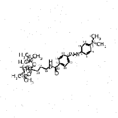 CN(C)c1ccc(/N=N/c2ccc(C(=O)NCCC[Si](C)(O[Si](C)(C)C)O[Si](C)(C)C)cc2)cc1